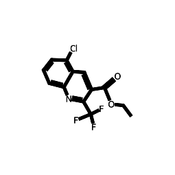 CCOC(=O)c1cc2c(Cl)cccc2nc1C(F)(F)F